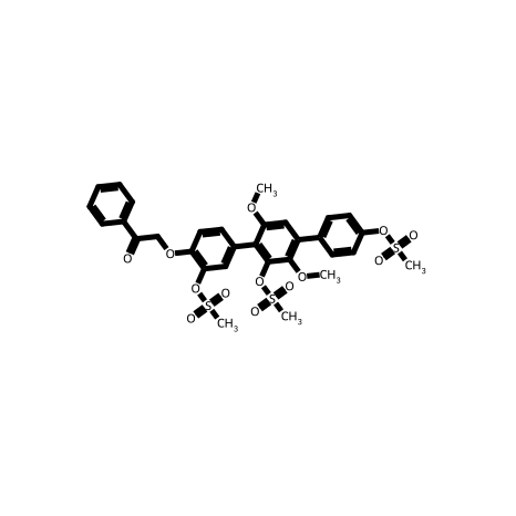 COc1cc(-c2ccc(OS(C)(=O)=O)cc2)c(OC)c(OS(C)(=O)=O)c1-c1ccc(OCC(=O)c2ccccc2)c(OS(C)(=O)=O)c1